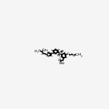 COCCOc1cc(CC(=O)O)cc(S(=O)(=O)c2cccc(-c3cnn(CC(C)C)c3)c2)c1